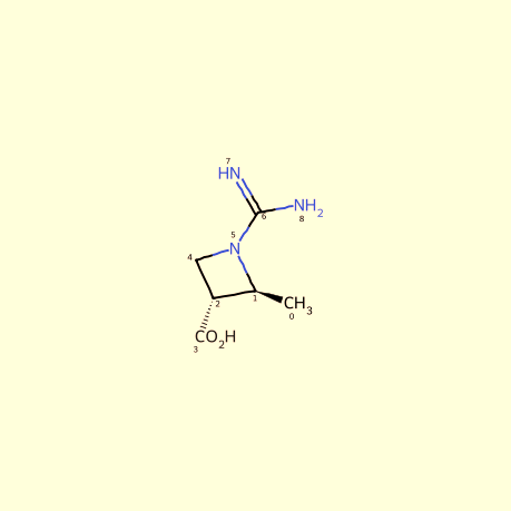 C[C@H]1[C@H](C(=O)O)CN1C(=N)N